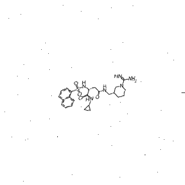 N=C(N)N1CCCC(CNC(=O)C[C@H](NS(=O)(=O)c2cccc3ccccc23)C(=O)NC2CC2)C1